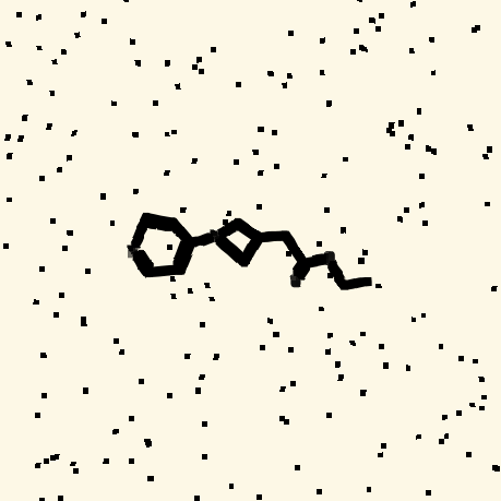 CCOC(=O)CC1CN(c2ccncc2)C1